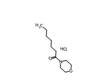 CCCCCCC(=O)N1CCOCC1.Cl